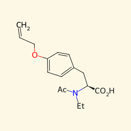 C=CCOc1ccc(C[C@@H](C(=O)O)N(CC)C(C)=O)cc1